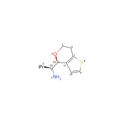 CC(C)[C@H](N)[C@H]1OCCc2sccc21